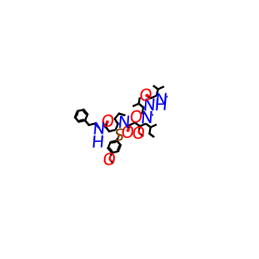 CCC(C)C(C(CC(=O)N1CCCC1C(CC(=O)NCCc1ccccc1)Sc1ccc(OC)cc1)OC)N(C)C(=O)C(NC(=O)C(C(C)C)N(C)C)C(C)C